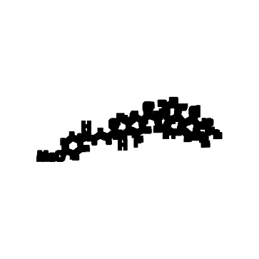 COC1CCC(NC/C=C/C(=O)Nc2c(F)cc(C(=O)c3ccc4c(-c5c(C(C)C)cc6c(nc(C)n6C)c5Cl)cccn34)cc2F)CC1